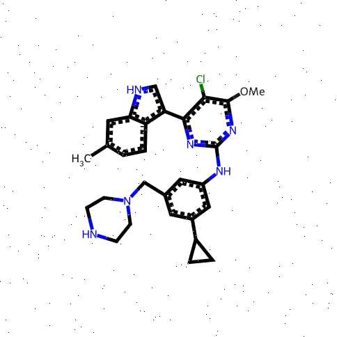 COc1nc(Nc2cc(CN3CCNCC3)cc(C3CC3)c2)nc(-c2c[nH]c3cc(C)ccc23)c1Cl